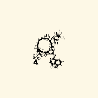 COc1cnc(O[C@@H]2C[C@H]3C(=O)N[C@]4(C(=O)NS(=O)(=O)C5CC5)C[C@H]4C=CCC[C@H](C)C[C@@H](C)[C@H](NC(=O)OC(C)(C)C(F)(F)F)C(=O)N3C2)c2ccccc12